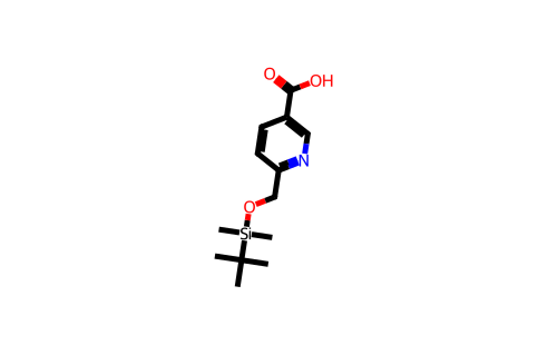 CC(C)(C)[Si](C)(C)OCc1ccc(C(=O)O)cn1